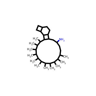 CC1CCC(N)CC2C3CCC4CCC4C3C2C(C)C(C)C(C)C(C)C(C)C(C)C(C)C(C)C(C)C1C